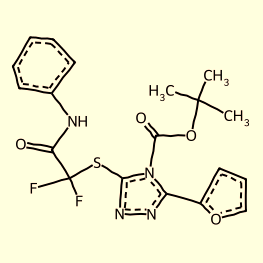 CC(C)(C)OC(=O)n1c(SC(F)(F)C(=O)Nc2ccccc2)nnc1-c1ccco1